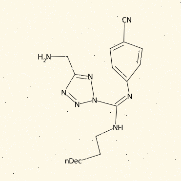 CCCCCCCCCCCCNC(=Nc1ccc(C#N)cc1)n1nnc(CN)n1